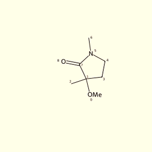 COC1(C)CCN(C)C1=O